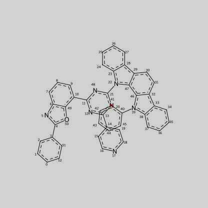 c1ccc(-c2nc3cccc(-c4nc(-c5ccncc5)nc(-n5c6ccccc6c6ccc7c8ccccc8n(-c8ccccc8)c7c65)n4)c3o2)cc1